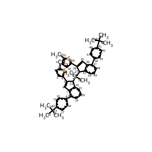 Cc1ccc(C2=Cc3c(-c4ccc(C(C)(C)C)cc4)cccc3C2[Si](C)(C)C2C(c3ccc(C)s3)=Cc3c(-c4ccc(C(C)(C)C)cc4)cccc32)s1